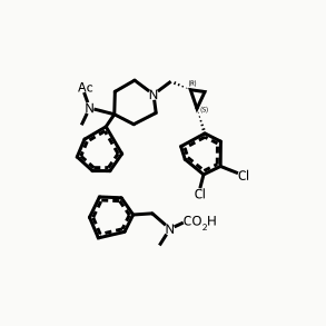 CC(=O)N(C)C1(c2ccccc2)CCN(C[C@@H]2C[C@@H]2c2ccc(Cl)c(Cl)c2)CC1.CN(Cc1ccccc1)C(=O)O